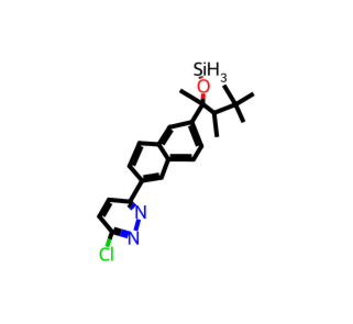 CC(C(C)(C)C)C(C)(O[SiH3])c1ccc2cc(-c3ccc(Cl)nn3)ccc2c1